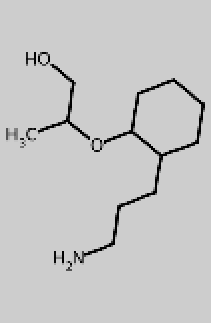 CC(CO)OC1CCCCC1CCCN